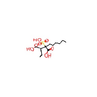 CCCCCCC(C(=O)O)(C(CC)C(=O)O)S(=O)(=O)O